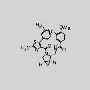 COc1ccc(C(=O)NC[C@@H]2[C@H]3C[C@H]3CN2C(=O)c2nc(C)sc2-c2cccc(C)c2)cc1C